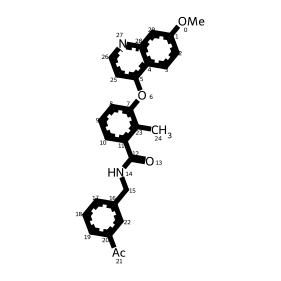 COc1ccc2c(Oc3cccc(C(=O)NCc4cccc(C(C)=O)c4)c3C)ccnc2c1